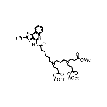 CCCCCCCCOC(=O)CCN(CCCCCC(=O)Nc1nc2ccccc2c2sc(CCC)nc12)CCCN(CCC(=O)OC)CCC(=O)OCCCCCCCC